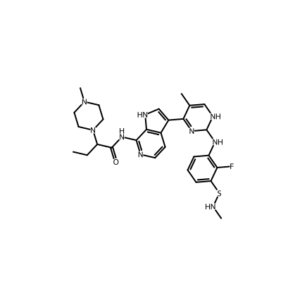 CCC(C(=O)Nc1nccc2c(C3=NC(Nc4cccc(SNC)c4F)NC=C3C)c[nH]c12)N1CCN(C)CC1